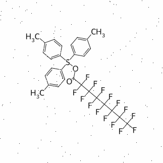 Cc1ccc(S(OC(=O)C(F)(F)C(F)(F)C(F)(F)C(F)(F)C(F)(F)C(F)(F)C(F)(F)F)(c2ccc(C)cc2)c2ccc(C)cc2)cc1